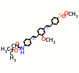 COOSc1ccc(/C=C/c2ccc(/C=C/c3ccc(NC(=O)OC(C)(C)C)cc3)c(OC)c2)cc1